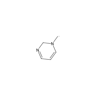 [CH2]N1C=CC=NC1